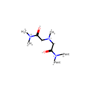 CCCC(C)N(C(=O)CN(C)CC(=O)N(C)C)C(C)CCC